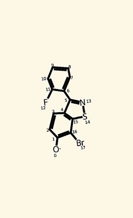 [O]c1ccc2c(-c3ccccc3F)nsc2c1Br